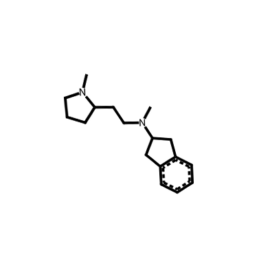 CN1CCCC1CCN(C)C1Cc2ccccc2C1